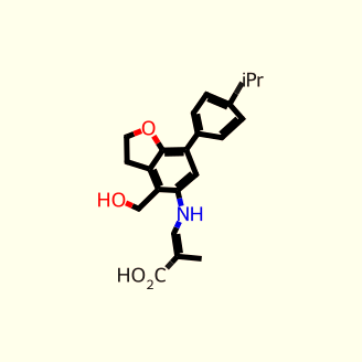 CC(=CNc1cc(-c2ccc(C(C)C)cc2)c2c(c1CO)CCO2)C(=O)O